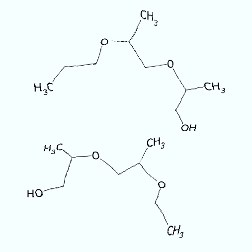 CCCOC(C)COC(C)CO.CCOC(C)COC(C)CO